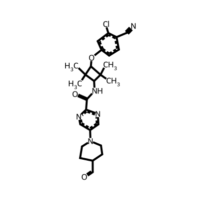 CC1(C)C(NC(=O)c2ncc(N3CCC(C=O)CC3)cn2)C(C)(C)C1Oc1ccc(C#N)c(Cl)c1